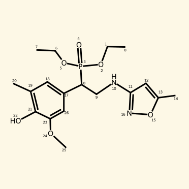 CCOP(=O)(OCC)C(CNc1cc(C)on1)c1cc(C)c(O)c(OC)c1